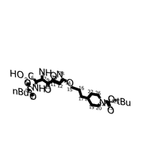 CCCCS(=O)(=O)NC(C(=O)O)C(N)C(=O)c1cc(OCCCC2CCN(C(=O)OC(C)(C)C)CC2)no1